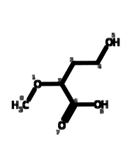 CO[C](CCO)C(=O)O